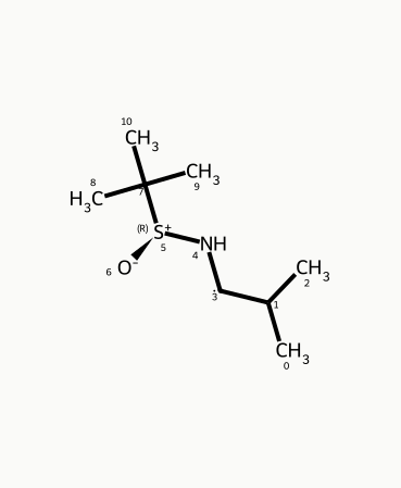 CC(C)[CH]N[S@@+]([O-])C(C)(C)C